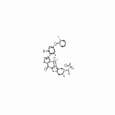 Cc1cc2cc(C(=O)c3cnn(-c4c(C)cc(Oc5ccccc5F)cc4F)c3N)[nH]c2cc1NS(C)(=O)=O